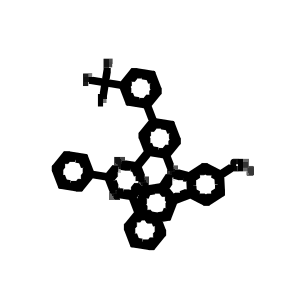 Cc1ccc2c3ccccc3n(-c3ccc(-c4cccc(C(F)(F)F)c4)cc3-c3nc(-c4ccccc4)nc(-c4ccccc4)n3)c2c1